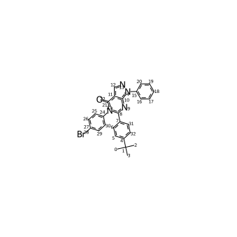 CC(C)(C)c1ccc(-c2nc3c(cnn3-c3ccccc3)c(=O)n2-c2ccc(Br)cc2)cc1